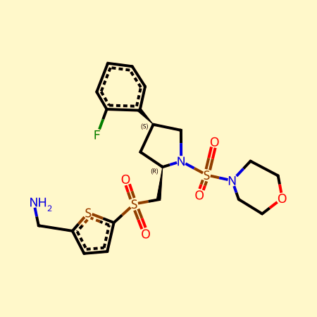 NCc1ccc(S(=O)(=O)C[C@H]2C[C@@H](c3ccccc3F)CN2S(=O)(=O)N2CCOCC2)s1